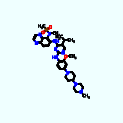 COc1cc(N2CCC(N3CCN(C)CC3)CC2)ccc1Nc1ncc(C(C)C)c(Nc2ccc3nccnc3c2N(C)S(C)(=O)=O)n1